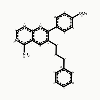 COc1ccc(-c2nc3ncnc(N)c3cc2CCCc2ccccc2)cc1